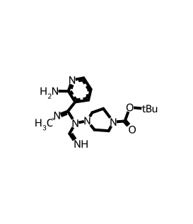 CN=C(c1cccnc1N)N(C=N)N1CCN(C(=O)OC(C)(C)C)CC1